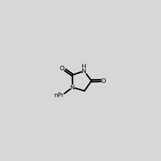 CCCN1CC(=O)NC1=O